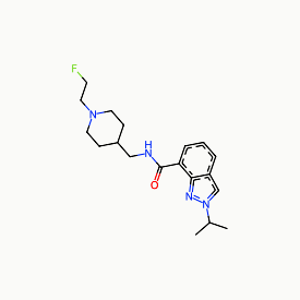 CC(C)n1cc2cccc(C(=O)NCC3CCN(CCF)CC3)c2n1